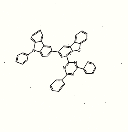 c1ccc(-c2nc(-c3ccccc3)nc(-c3cc(-c4ccc5c(c4)c4ccccc4n5-c4ccccc4)cc4c3sc3ccccc34)n2)cc1